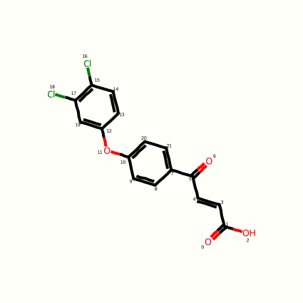 O=C(O)C=CC(=O)c1ccc(Oc2ccc(Cl)c(Cl)c2)cc1